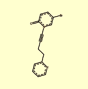 O=c1ccc(Br)cn1C#CCCc1ccccn1